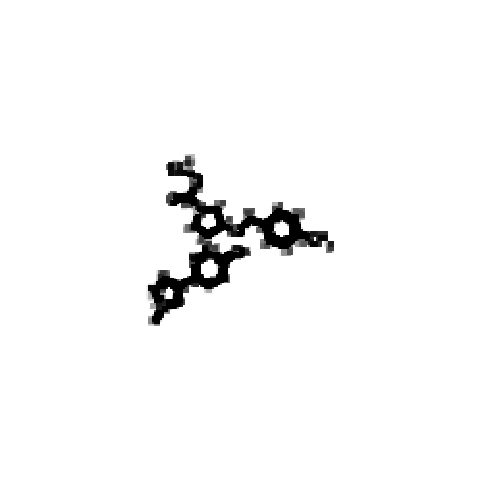 Cn1cc(-c2ccc(=O)n([C@@H]3CN(C(=O)OC(C)(C)C)C[C@H]3OCc3ccc(C(F)(F)F)cc3)n2)cn1